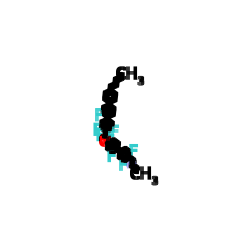 CC/C=C/c1c(F)cc(-c2ccc(OC(F)(F)c3c(F)cc(-c4ccc(C5CCC(CCCCC)CC5)cc4F)cc3F)cc2F)cc1F